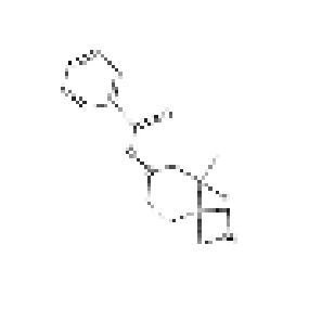 O=C(ON1CCC2(CNC2)C(F)(F)C1)c1ccccc1